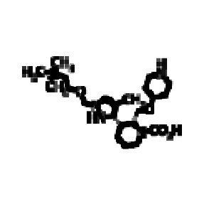 CC1=CN(COCC[Si](C)(C)C)NC1[C@H]1CCCN(C(=O)O)[C@H]1COC1CCNCC1